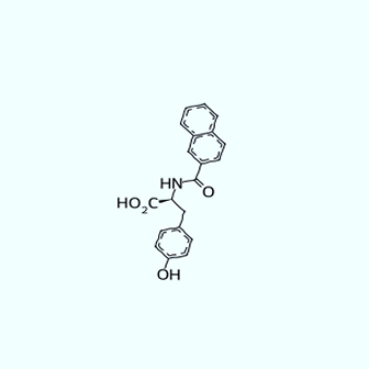 O=C(N[C@@H](Cc1ccc(O)cc1)C(=O)O)c1ccc2ccccc2c1